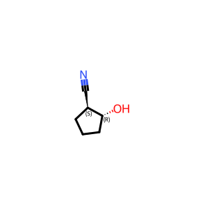 N#C[C@@H]1CCC[C@H]1O